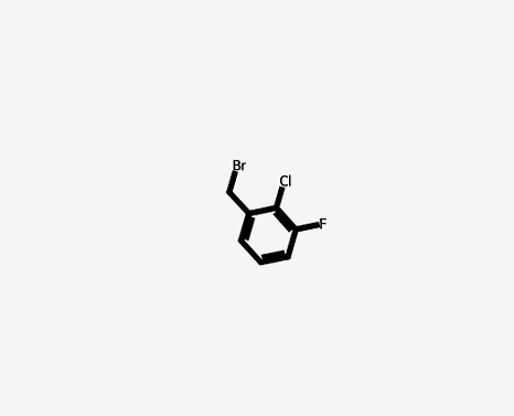 Fc1cccc(CBr)c1Cl